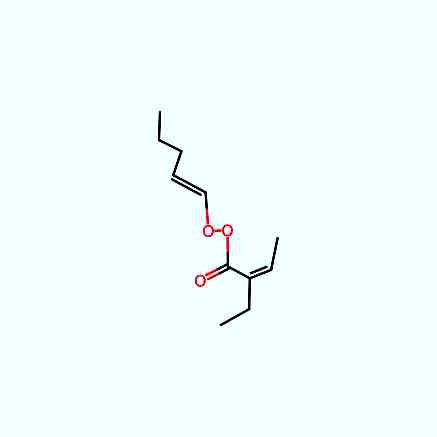 CC=C(CC)C(=O)OOC=CCCC